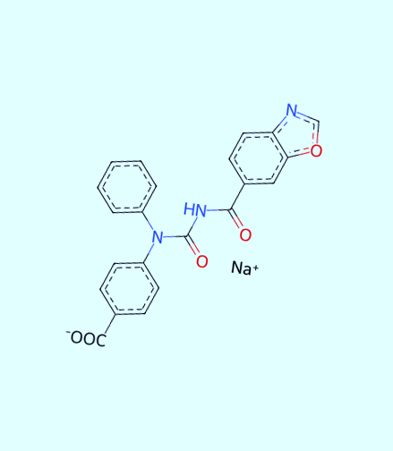 O=C([O-])c1ccc(N(C(=O)NC(=O)c2ccc3ncoc3c2)c2ccccc2)cc1.[Na+]